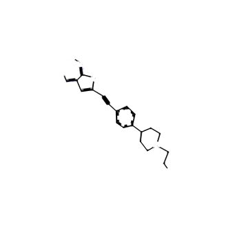 C/C=C1/C=C(C#Cc2ccc(C3CCN(CCC)CC3)cc2)N/C1=N/C